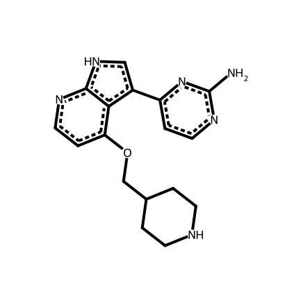 Nc1nccc(-c2c[nH]c3nccc(OCC4CCNCC4)c23)n1